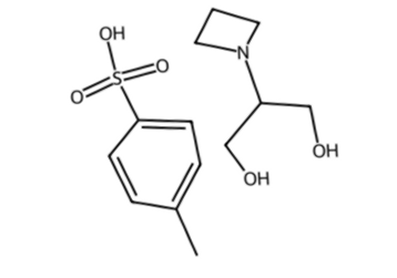 Cc1ccc(S(=O)(=O)O)cc1.OCC(CO)N1CCC1